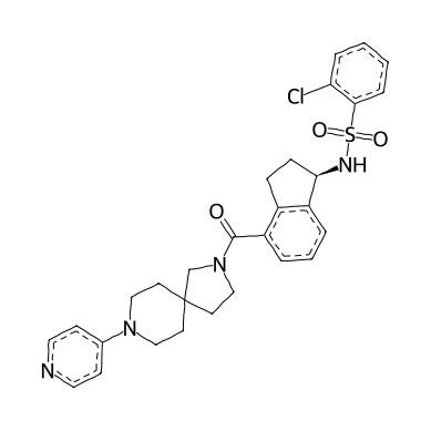 O=C(c1cccc2c1CC[C@H]2NS(=O)(=O)c1ccccc1Cl)N1CCC2(CCN(c3ccncc3)CC2)C1